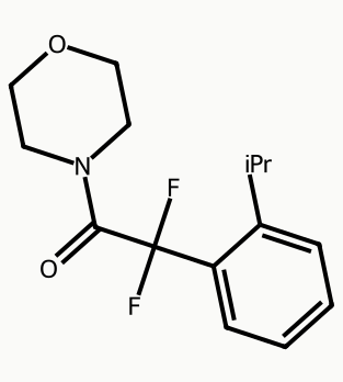 CC(C)c1ccccc1C(F)(F)C(=O)N1CCOCC1